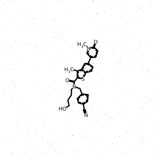 Cc1c(C(=O)N(CCCCO)Cc2ccc(C#N)cc2)sc2ccc(-c3ccc(=O)n(C)c3)cc12